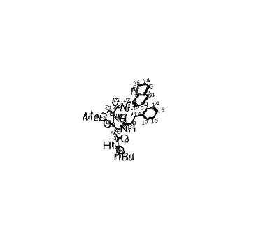 CCCCONC(=O)C[C@H](NC(=O)CCc1ccccc1)C(=O)N[C@@H](COC)C(=O)NCc1cccc2cccnc12